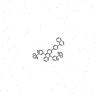 c1ccc2c(-c3ccc(-c4ccc5c(-c6ccnc(-c7ncco7)c6)c6ccccc6c(-c6ccnc(-c7ncco7)c6)c5c4)cc3)cccc2c1